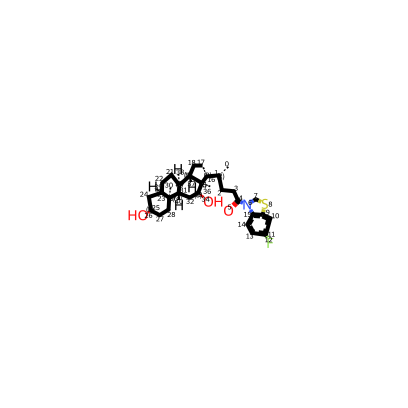 C[C@H](CCC(=O)N1CSc2cc(F)ccc21)[C@H]1CC[C@H]2[C@@H]3CC[C@@H]4C[C@H](O)CC[C@]4(C)[C@H]3C[C@H](O)[C@]12C